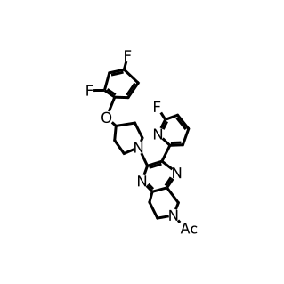 CC(=O)N1CCc2nc(N3CCC(Oc4ccc(F)cc4F)CC3)c(-c3cccc(F)n3)nc2C1